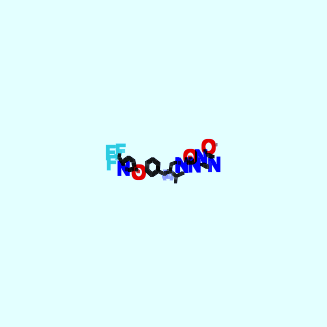 COc1cncc(NC(=O)N2CC/C(=C\c3cccc(Oc4ccc(C(F)(F)F)nc4)c3)C(C)C2)n1